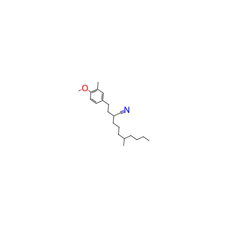 CCCCC(C)CCCC(C#N)CCc1ccc(OC)c(C)c1